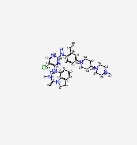 C=C(N(C)C)N1CCc2cccc(Nc3nc(Nc4ccc(N5CCC(N6CCN(C)CC6)CC5)cc4CC)ncc3Cl)c21